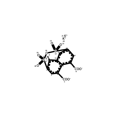 Nc1c2cc(C(=O)[O-])c3c(C(=O)[O-])cc(cc13)S(=O)(=O)OS2(=O)=O.[K+].[K+]